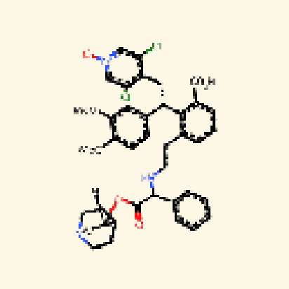 COc1ccc([C@H](Cc2c(Cl)c[n+]([O-])cc2Cl)c2c(CCNC(C(=O)O[C@H]3CN4CCC3CC4)c3ccccc3)cccc2C(=O)O)cc1OC